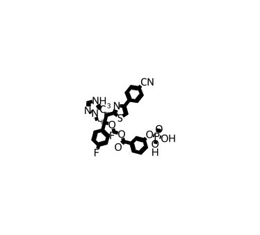 C[C@@H](c1nc(-c2ccc(C#N)cc2)cs1)[C@@](Cn1cncn1)(OCOC(=O)c1cccc(OP(=O)(O)O)c1)c1ccc(F)cc1F